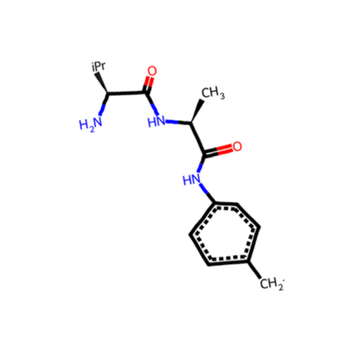 [CH2]c1ccc(NC(=O)[C@H](C)NC(=O)[C@@H](N)C(C)C)cc1